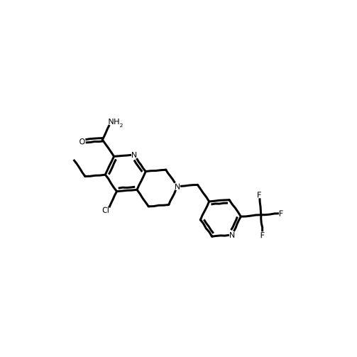 CCc1c(C(N)=O)nc2c(c1Cl)CCN(Cc1ccnc(C(F)(F)F)c1)C2